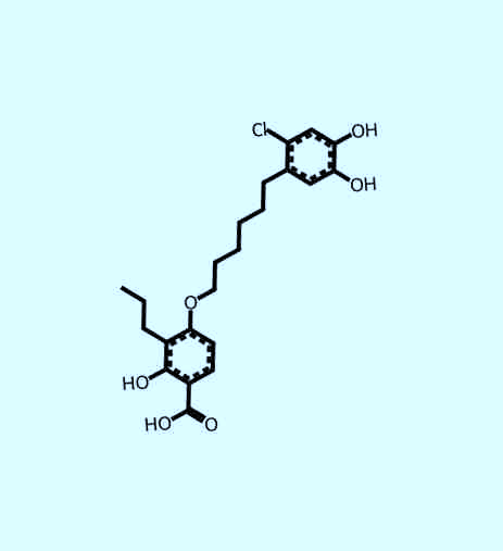 CCCc1c(OCCCCCCc2cc(O)c(O)cc2Cl)ccc(C(=O)O)c1O